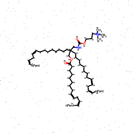 CCCCC/C=C\C/C=C\CCCCCCCCC(CCCCCCCC/C=C\C/C=C\CCCCC)(CNC(=O)OCCC[N+](C)(C)C)COC(=O)CCCCCCC/C=C\C/C=C\CCCCC